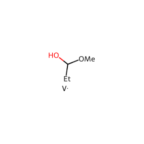 CCC(O)OC.[V]